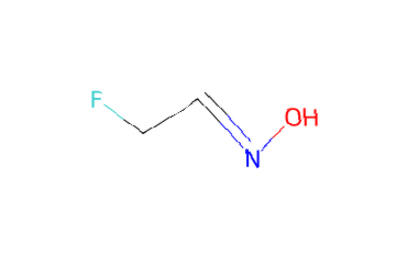 ON=CCF